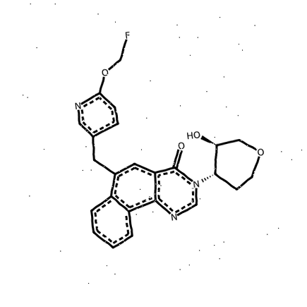 O=c1c2cc(Cc3ccc(OCF)nc3)c3ccccc3c2ncn1[C@H]1CCOC[C@@H]1O